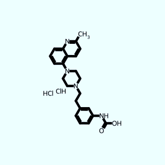 Cc1ccc2c(N3CCN(CCc4cccc(NC(=O)O)c4)CC3)cccc2n1.Cl.Cl